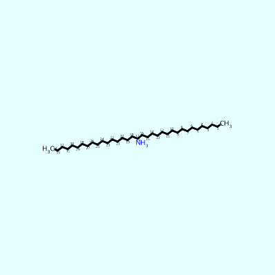 CCCCCCCCCCCCCCCCCCCCCCCCCCCCCCCCCCC.N